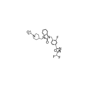 O=c1n(Cc2ccc(-c3nnc(C(F)F)o3)cc2F)c2ccccc2n1CC1CCN(C2COC2)CC1